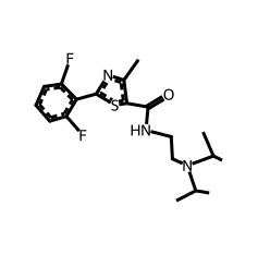 Cc1nc(-c2c(F)cccc2F)sc1C(=O)NCCN(C(C)C)C(C)C